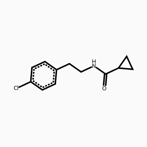 O=C(NCCc1ccc(Cl)cc1)C1CC1